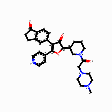 CN1CCN(CC(=O)N2CCCC(C3OC(c4ccncc4)=C(c4ccc5c(c4)CCC5=O)C3=O)C2)CC1